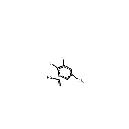 Cc1cnc(Cl)c(Cl)c1.O=CO